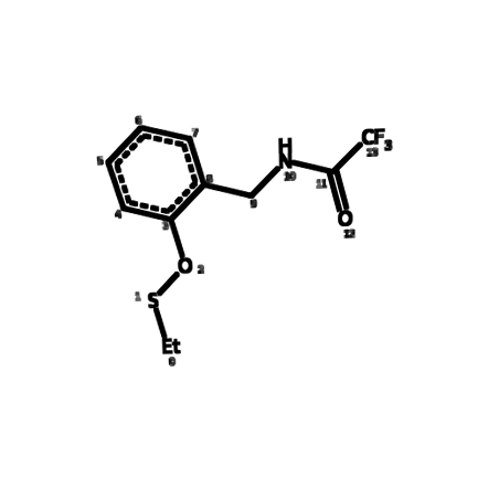 CCSOc1ccccc1CNC(=O)C(F)(F)F